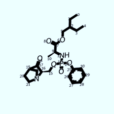 CCC(CC)COC(=O)[C@H](C)NP(=O)(OC[C@@H]1C(=O)C2CCN1C2)Oc1ccccc1